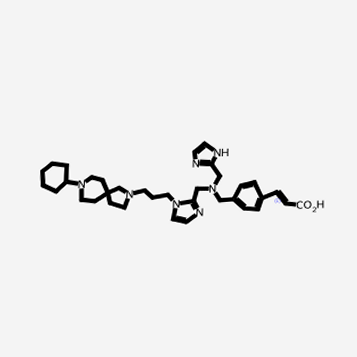 O=C(O)/C=C/c1ccc(CN(Cc2ncc[nH]2)Cc2nccn2CCCN2CCC3(CCN(C4CCCCC4)CC3)C2)cc1